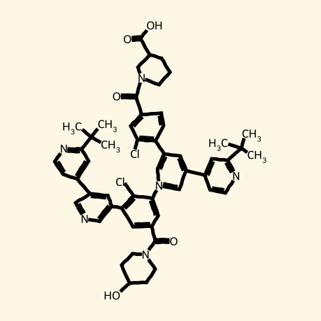 CC(C)(C)c1cc(-c2cncc(-c3cc(C(=O)N4CCC(O)CC4)cc(-[n+]4cc(-c5ccnc(C(C)(C)C)c5)cc(-c5ccc(C(=O)N6CCCC(C(=O)O)C6)cc5Cl)c4)c3Cl)c2)ccn1